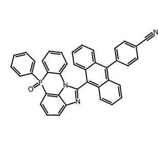 N#Cc1ccc(-c2c3ccccc3c(-c3nc4cccc5c4n3-c3ccccc3P5(=O)c3ccccc3)c3ccccc23)cc1